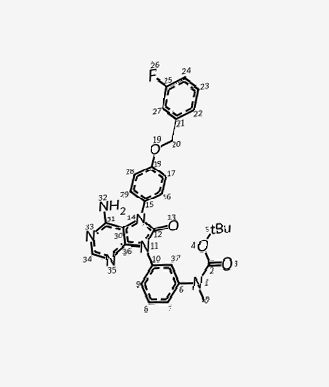 CN(C(=O)OC(C)(C)C)c1cccc(-n2c(=O)n(-c3ccc(OCc4cccc(F)c4)cc3)c3c(N)ncnc32)c1